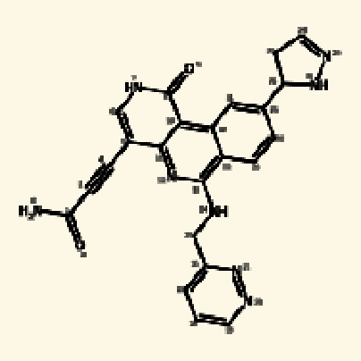 NC(=O)C#Cc1c[nH]c(=O)c2c1nc(NCc1cccnn1)c1ccc(C3CC=NN3)cc12